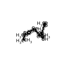 CN(C)CCN(C)C(=O)Oc1ccc(COC(=O)N(C)CCCNC(=O)C(CC(=O)O)N(C)C(=O)CCCCCSS(C)(=O)=O)cc1